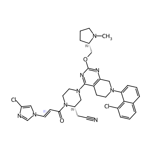 CN1CCC[C@H]1COc1nc2c(c(N3CCN(C(=O)/C=C/n4cnc(Cl)c4)[C@@H](CC#N)C3)n1)CCN(c1cccc3cccc(Cl)c13)C2